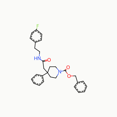 O=C(CC1(c2ccccc2)CCN(C(=O)OCc2ccccc2)CC1)NCCc1ccc(F)cc1